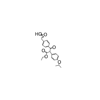 CCOC(=O)C(C(=O)c1ccc(CS(=O)O)cc1)c1ccc(OC(C)C)cc1